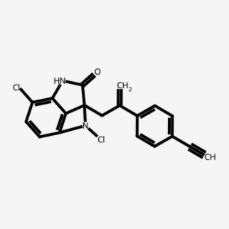 C#Cc1ccc(C(=C)CC23C(=O)Nc4c(Cl)ccc(c42)N3Cl)cc1